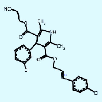 CC1=C(C(=O)OC/C=C/c2ccc(Cl)cc2)C(c2cccc(Cl)c2)C(C(=O)OCCC#N)=C(C)N1